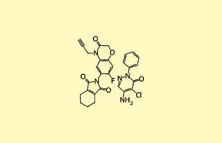 C#CCN1C(=O)COc2cc(F)c(N3C(=O)C4=C(CCCC4)C3=O)cc21.Nc1cnn(-c2ccccc2)c(=O)c1Cl